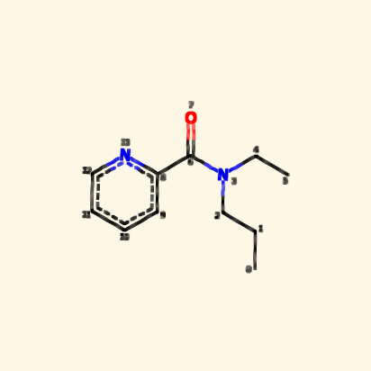 CCCN(CC)C(=O)c1ccccn1